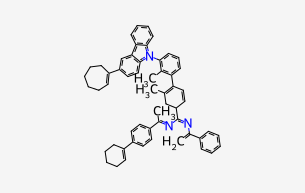 C=C(/N=C(\N=C(/C)c1ccc(C2=CCCCC2)cc1)C1C=CC(c2cccc(-n3c4ccccc4c4cc(C5=CCCCCC5)ccc43)c2C)=C(C)C1)c1ccccc1